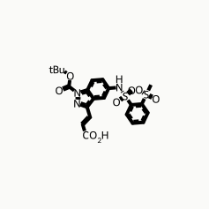 CC(C)(C)OC(=O)n1nc(C=CC(=O)O)c2cc(NS(=O)(=O)c3ccccc3S(C)(=O)=O)ccc21